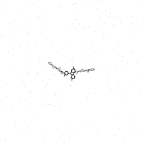 COCCOCCOCCOc1ccc(C2c3cc(C)ccc3-c3c(OCCOCCOCCOC)cc(C)cc32)cc1C